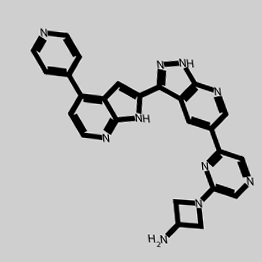 NC1CN(c2cncc(-c3cnc4[nH]nc(-c5cc6c(-c7ccncc7)ccnc6[nH]5)c4c3)n2)C1